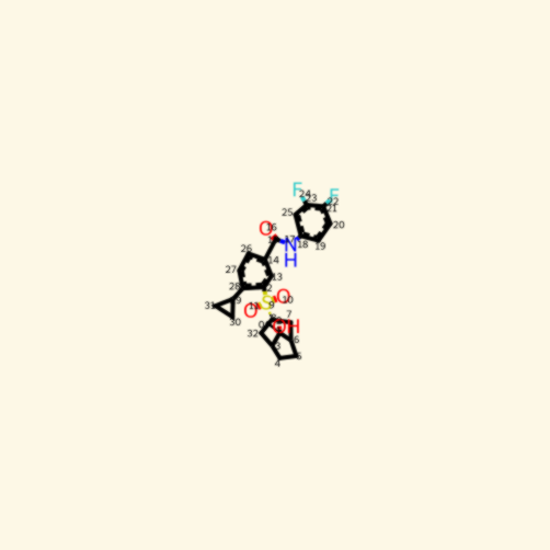 C[C@]1(O)C2CCC1C[C@@H](S(=O)(=O)c1cc(C(=O)Nc3ccc(F)c(F)c3)ccc1C1CC1)C2